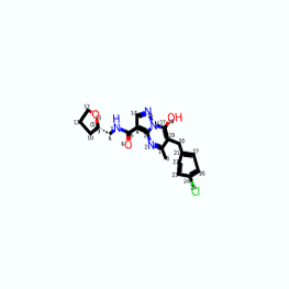 Cc1nc2c(C(=O)NC[C@@H]3CCCO3)cnn2c(O)c1Cc1ccc(Cl)cc1